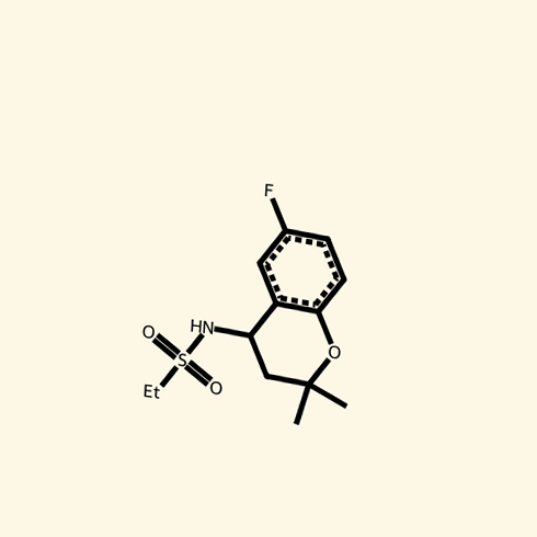 CCS(=O)(=O)NC1CC(C)(C)Oc2ccc(F)cc21